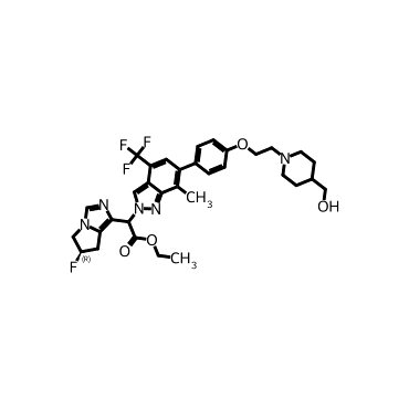 CCOC(=O)C(c1ncn2c1C[C@@H](F)C2)n1cc2c(C(F)(F)F)cc(-c3ccc(OCCN4CCC(CO)CC4)cc3)c(C)c2n1